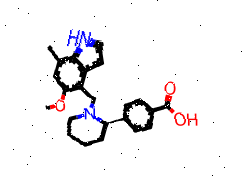 COc1cc(C)c2[nH]ccc2c1CN1CCCC[C@@H]1c1ccc(C(=O)O)cc1